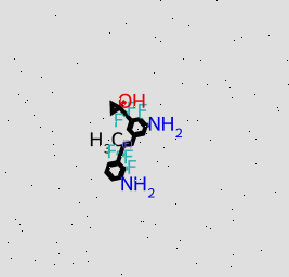 C/C(=C\c1cc(N)c(F)c(C(F)(F)C2(O)CC2)c1)C(F)(F)c1cccc(N)c1F